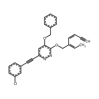 C#C/C=C\C(=C/C)COc1nnc(C#Cc2cccc(Cl)c2)cc1OCc1ccccc1